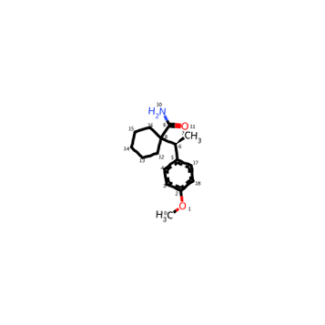 COc1ccc([C@H](C)C2(C(N)=O)CCCCC2)cc1